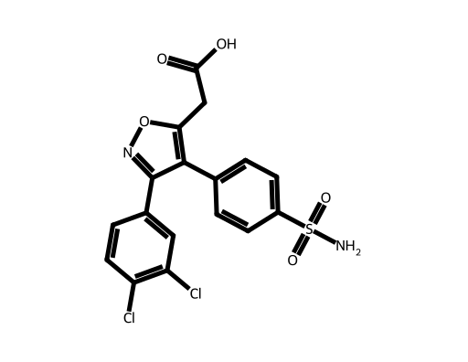 NS(=O)(=O)c1ccc(-c2c(-c3ccc(Cl)c(Cl)c3)noc2CC(=O)O)cc1